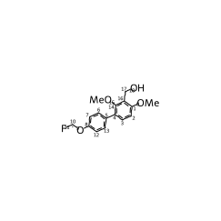 COc1ccc(-c2ccc(O[CH]F)cc2)c(OC)c1CO